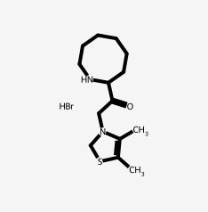 Br.CC1=C(C)N(CC(=O)C2CCCCCCN2)CS1